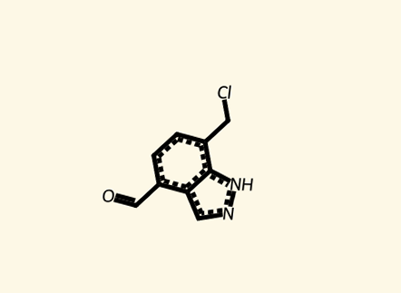 O=Cc1ccc(CCl)c2[nH]ncc12